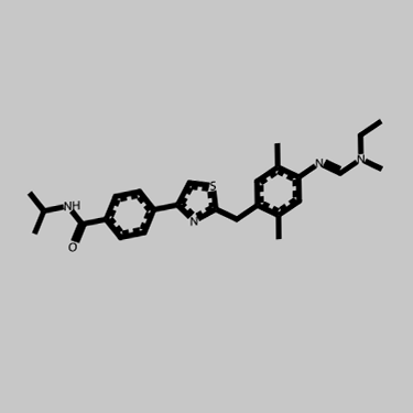 CCN(C)/C=N/c1cc(C)c(Cc2nc(-c3ccc(C(=O)NC(C)C)cc3)cs2)cc1C